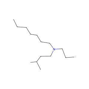 [CH2]CCN(CCCCCCC)CCC(C)C